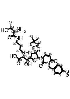 COc1ccc(Cn2c(=O)ccn([C@@H]3OC([C@H](O)[C@H](NCCCNC(=O)[C@@H](N)[C@H](C)O)C(=O)O)C[C@H]3O[Si](C)(C)C(C)(C)C)c2=O)cc1